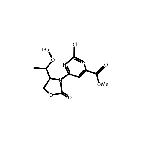 COC(=O)c1cc(N2C(=O)OCC2[C@@H](C)OC(C)(C)C)nc(Cl)n1